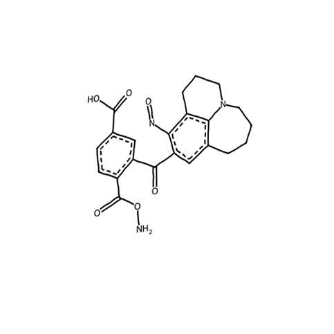 NOC(=O)c1ccc(C(=O)O)cc1C(=O)c1cc2c3c(c1N=O)CCCN3CCCC2